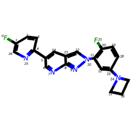 Fc1ccc(-c2cnc3nn(-c4cc(N5CCC5)ccc4F)cc3c2)nc1